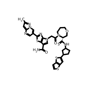 Cc1cc2ncc(-c3nc4c(s3)c(C(N)=O)cn4CC(=O)N3CCCOC[C@@H]3C(=S)NC3CCC(c4cc5sccc5s4)C3)cn2n1